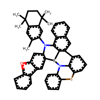 Cc1cc2c(cc1N1c3cc4oc5ccccc5c4cc3B3c4c(cc5ccccc5c41)-c1cccc4c1N3c1ccccc1S4)C(C)(C)CCC2(C)C